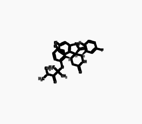 CN(C)C(=O)C(C)(C)Oc1ccc(Cl)cc1[C@H]1CC(=O)N[C@@H](c2cc(F)ccc2F)[C@]12C(=O)Nc1cc(Cl)ccc12